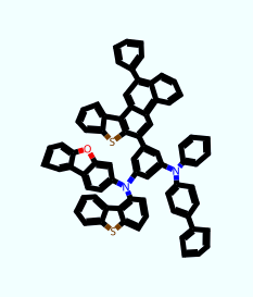 c1ccc(-c2ccc(N(c3ccccc3)c3cc(-c4cc5c6ccccc6c(-c6ccccc6)cc5c5c4sc4ccccc45)cc(N(c4ccc5c(c4)oc4ccccc45)c4cccc5sc6ccccc6c45)c3)cc2)cc1